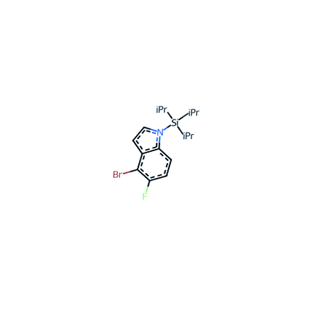 CC(C)[Si](C(C)C)(C(C)C)n1ccc2c(Br)c(F)ccc21